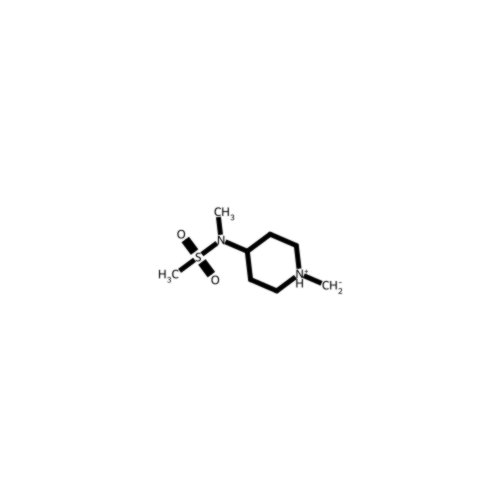 [CH2-][NH+]1CCC(N(C)S(C)(=O)=O)CC1